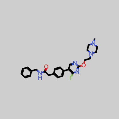 CN1CCN(CCOc2ncc(-c3ccc(CC(=O)NCc4ccccc4)cc3)c(F)n2)CC1